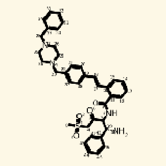 CS(=O)(=O)CC(=O)C(NC(=O)c1ccccc1C=Cc1ccc(CN2CCN(Cc3ccccc3)CC2)cc1)[C@H](N)c1ccccc1